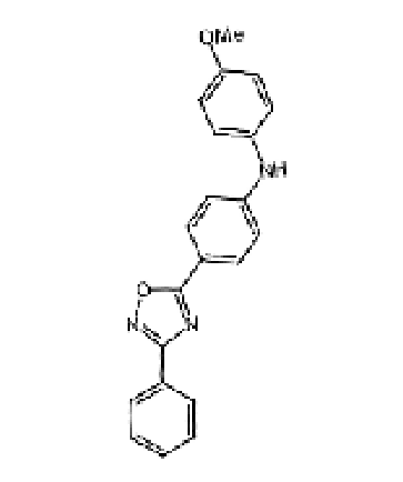 COc1ccc(Nc2ccc(-c3nc(-c4ccccc4)no3)cc2)cc1